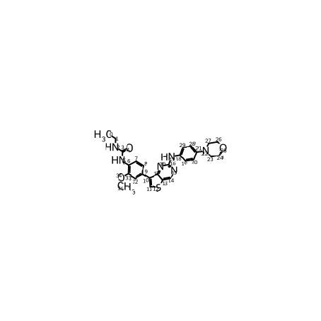 CCNC(=O)Nc1ccc(-c2csc3cnc(Nc4ccc(N5CCOCC5)cc4)nc23)cc1OC